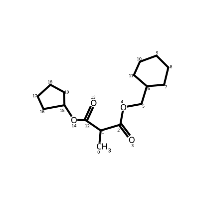 CC(C(=O)OCC1CCCCC1)C(=O)OC1CCCC1